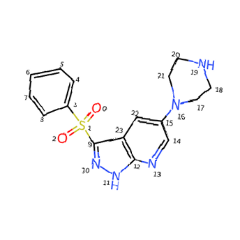 O=S(=O)(c1ccccc1)c1n[nH]c2ncc(N3CCNCC3)cc12